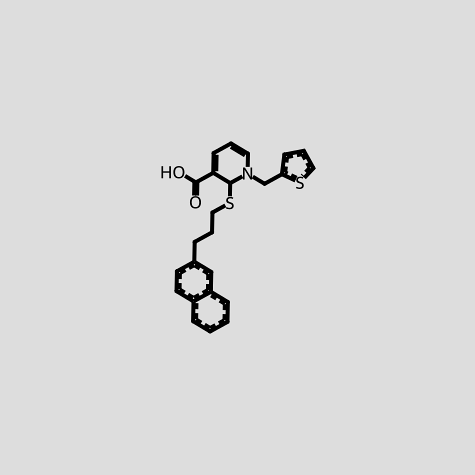 O=C(O)C1=CC=CN(Cc2cccs2)C1SCCCc1ccc2ccccc2c1